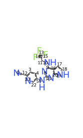 N#Cc1ccc(Nc2nc(NCC(F)(F)F)c3cc[nH]c3n2)cn1